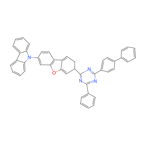 C1=c2oc3cc(-n4c5ccccc5c5ccccc54)ccc3c2=CCC1c1nc(-c2ccccc2)nc(-c2ccc(-c3ccccc3)cc2)n1